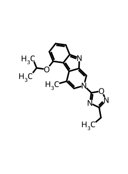 CCc1noc(-n2cc3nc4cccc(OC(C)C)c4c-3c(C)c2)n1